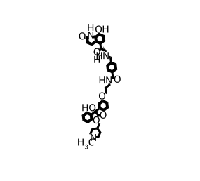 CN1CCC(COC(=O)[C@](O)(c2ccccc2)c2cccc(OCCCNC(=O)c3ccc(CNC[C@H](O)c4ccc(O)c5[nH]c(=O)ccc45)cc3)c2)CC1